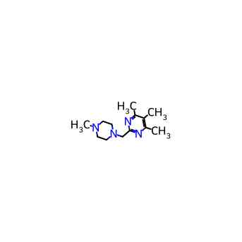 Cc1nc(CN2CCN(C)CC2)nc(C)c1C